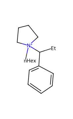 CCCCCC[N+]1(C(CC)c2ccccc2)CCCC1